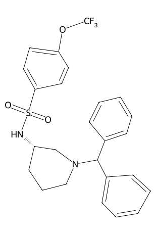 O=S(=O)(N[C@H]1CCCN(C(c2ccccc2)c2ccccc2)C1)c1ccc(OC(F)(F)F)cc1